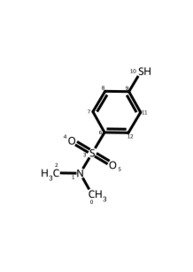 CN(C)S(=O)(=O)c1ccc(S)cc1